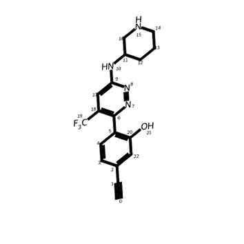 C#Cc1ccc(-c2nnc(NC3CCCNC3)cc2C(F)(F)F)c(O)c1